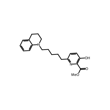 COC(=O)c1nc(CCCCCN2CCCc3ccccc32)ccc1O